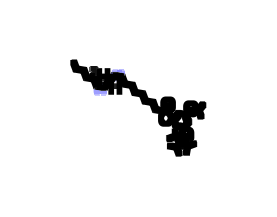 [2H]C([2H])(/C=C\CCCCC)/C=C\CCCCCCCC(=O)Oc1cc(OC(C)C)cc(O[Si](C(C)C)(C(C)C)C(C)C)c1